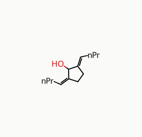 CCCC=C1CCC(=CCCC)C1O